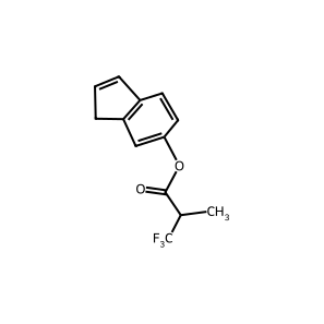 CC(C(=O)Oc1ccc2c(c1)CC=C2)C(F)(F)F